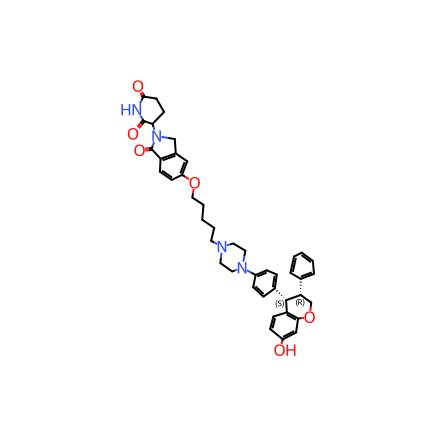 O=C1CCC(N2Cc3cc(OCCCCCN4CCN(c5ccc([C@H]6c7ccc(O)cc7OC[C@H]6c6ccccc6)cc5)CC4)ccc3C2=O)C(=O)N1